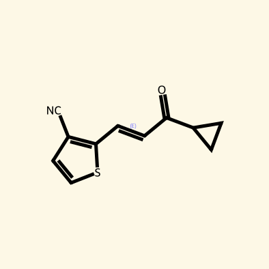 N#Cc1ccsc1/C=C/C(=O)C1CC1